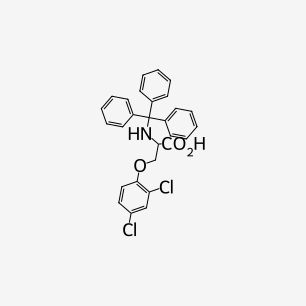 O=C(O)C(COc1ccc(Cl)cc1Cl)NC(c1ccccc1)(c1ccccc1)c1ccccc1